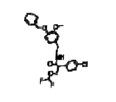 COc1cc(CCNC(=O)/C(=C\OC(F)F)c2ccc(Cl)cc2)ccc1OCc1ccccc1